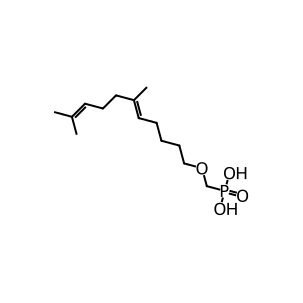 CC(C)=CCCC(C)=CCCCCOCP(=O)(O)O